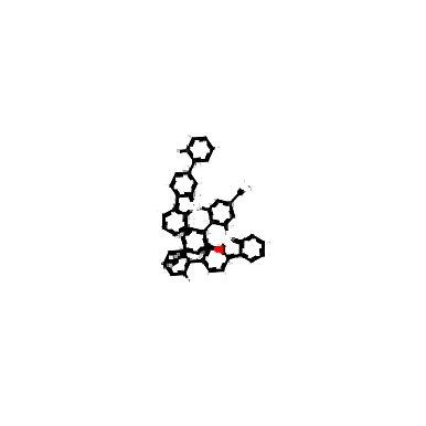 Cc1ccccc1-c1ccc2c3ccccc3n(-c3cc(C#N)cc(-n4c5ccccc5c5ccc(-c6ccccc6C)cc54)c3-c3ccc(C#N)cc3F)c2c1